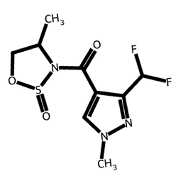 CC1COS(=O)N1C(=O)c1cn(C)nc1C(F)F